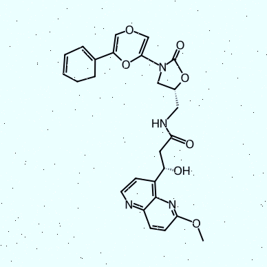 COc1ccc2nccc([C@@H](O)CC(=O)NC[C@@H]3CN(C4=COC=C(C5=CC=CCC5)O4)C(=O)O3)c2n1